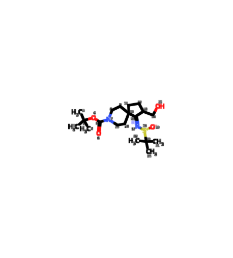 CC(C)(C)OC(=O)N1CCC2(CCC(CO)/C2=N\[S+]([O-])C(C)(C)C)CC1